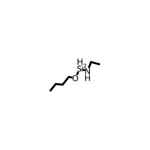 CCCCO[SiH2]NCC